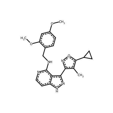 COc1ccc(CNc2nccc3[nH]nc(-c4noc(C5CC5)c4C)c23)c(OC)c1